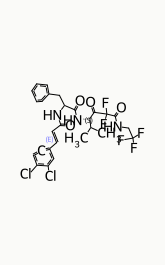 CC(C)[C@H](NC(=O)C(Cc1ccccc1)NC(=O)/C=C/c1ccc(Cl)c(Cl)c1)C(=O)C(F)(F)C(=O)NCC(F)(F)F